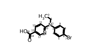 CCN(c1ccc(Br)cc1)c1ccc(C(=O)O)cn1